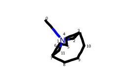 CN1CC2CCCC(CCC2)C1